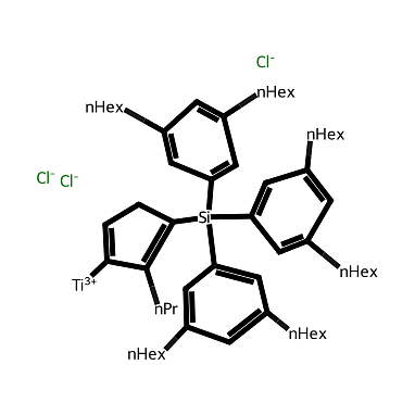 CCCCCCc1cc(CCCCCC)cc([Si](C2=C(CCC)[C]([Ti+3])=CC2)(c2cc(CCCCCC)cc(CCCCCC)c2)c2cc(CCCCCC)cc(CCCCCC)c2)c1.[Cl-].[Cl-].[Cl-]